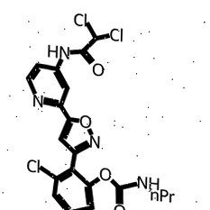 CCCNC(=O)Oc1cccc(Cl)c1-c1cc(-c2cc(NC(=O)C(Cl)Cl)ccn2)on1